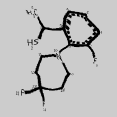 CC(S)c1cccc(F)c1N1CCC(F)(F)CC1